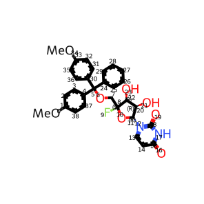 COc1ccc(C(OC[C@@]2(F)O[C@@H](n3ccc(=O)[nH]c3=O)[C@H](O)[C@@H]2O)(c2ccccc2)c2ccc(OC)cc2)cc1